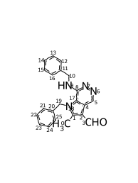 Cc1c(C=O)c2cnnc(NCc3ccccc3)c2n1Cc1ccccc1